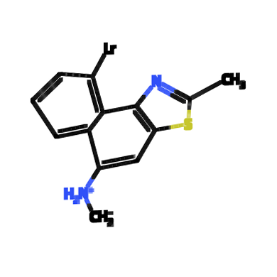 [CH2-][NH2+]c1cc2sc(C)nc2c2[c]([Lr])cccc12